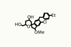 CCc1ccc(Cc2cc3c(cc2Cl)C(OC)CC32CC(O)CC(CO)O2)cc1